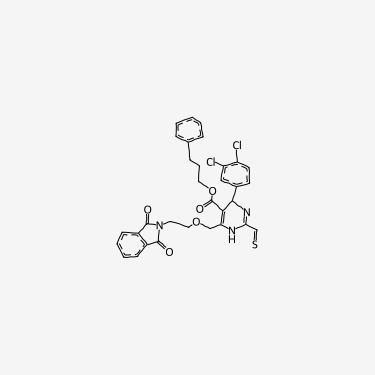 O=C(OCCCc1ccccc1)C1=C(COCCN2C(=O)c3ccccc3C2=O)NC(C=S)=NC1c1ccc(Cl)c(Cl)c1